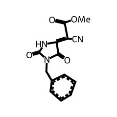 COC(=O)C(C#N)=C1NC(=O)N(Cc2ccccc2)C1=O